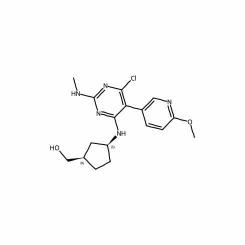 CNc1nc(Cl)c(-c2ccc(OC)nc2)c(N[C@H]2CC[C@@H](CO)C2)n1